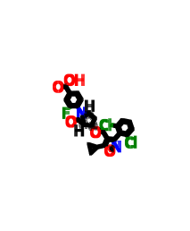 O=C(O)c1ccc(N2C(=O)[C@@H]3C[C@H]2C[C@H]3OCc2c(-c3c(Cl)cccc3Cl)noc2C2CC2)c(F)c1